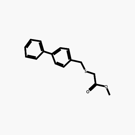 COC(=O)CSCc1ccc(-c2ccccc2)cc1